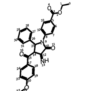 CCOC(=O)c1ccc(N2C(=O)C(=N)C(C(=O)c3ccc(OC)cc3)C2c2ccccc2)cc1